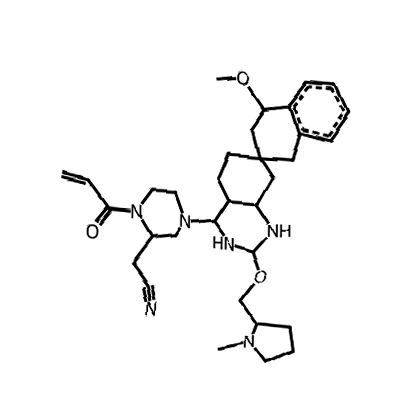 C=CC(=O)N1CCN(C2NC(OCC3CCCN3C)NC3CC4(CCC32)Cc2ccccc2C(OC)C4)CC1CC#N